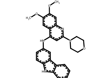 COc1cc2nc(N3CCOCC3)cc(Nc3ccc4[nH]c5ccccc5c4c3)c2cc1OC